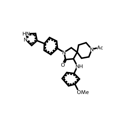 COc1cccc(NC2C(=O)N(c3ccc(-c4cn[nH]c4)cc3)CC23CCN(C(C)=O)CC3)c1